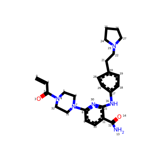 C=CC(=O)N1CCN(c2ccc(C(N)=O)c(Nc3ccc(CCN4CCCC4)cc3)n2)CC1